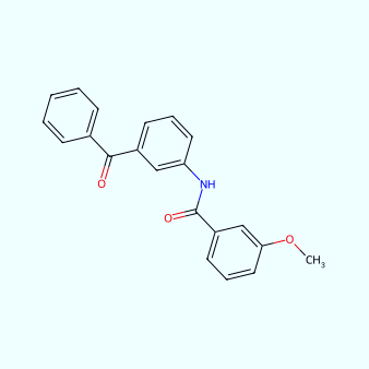 COc1cccc(C(=O)Nc2cccc(C(=O)c3ccccc3)c2)c1